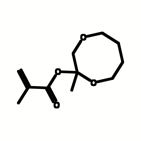 C=C(C)C(=O)OC1(C)COCCCCO1